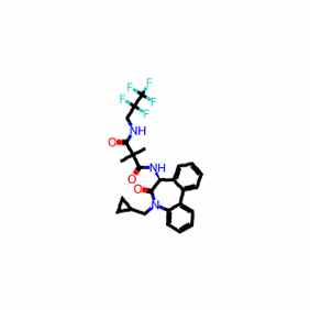 CC(C)(C(=O)NCC(F)(F)C(F)(F)F)C(=O)N[C@@H]1C(=O)N(CC2CC2)c2ccccc2-c2ccccc21